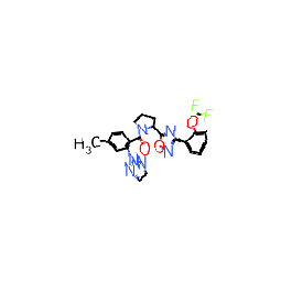 Cc1ccc(C(=O)N2CCCC2c2nc(-c3ccccc3OC(F)F)no2)c(-n2nccn2)c1